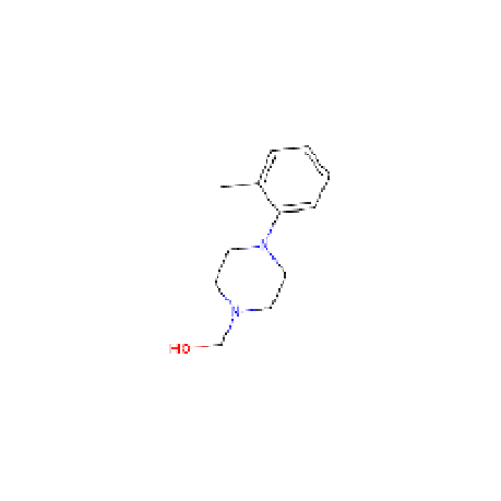 Cc1ccccc1N1CCN(CO)CC1